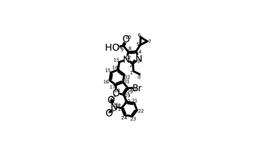 CCc1nc(C2CC2)c(C(=O)O)n1Cc1ccc2oc(-c3ccccc3[N+](=O)[O-])c(Br)c2c1